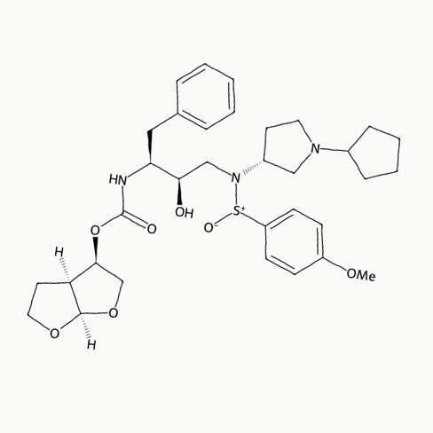 COc1ccc([S+]([O-])N(C[C@@H](O)[C@H](Cc2ccccc2)NC(=O)O[C@H]2CO[C@H]3OCC[C@H]32)[C@@H]2CCN(C3CCCC3)C2)cc1